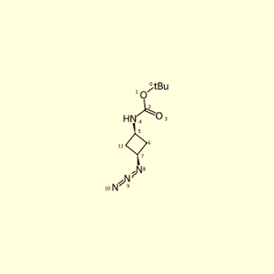 CC(C)(C)OC(=O)N[C@H]1C[C@@H](N=[N+]=[N-])C1